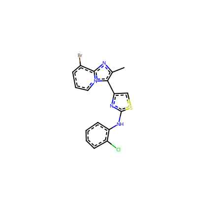 Cc1nc2c(Br)cccn2c1-c1csc(Nc2ccccc2Cl)n1